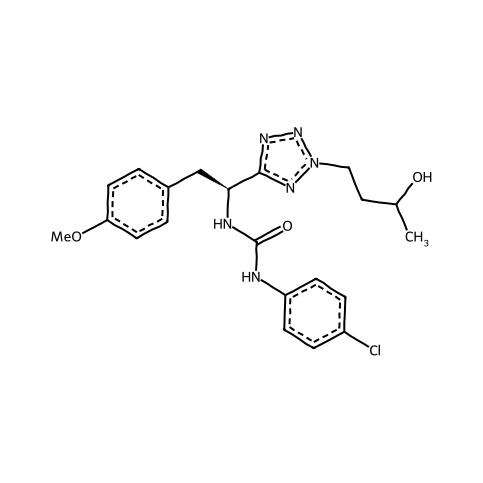 COc1ccc(C[C@H](NC(=O)Nc2ccc(Cl)cc2)c2nnn(CCC(C)O)n2)cc1